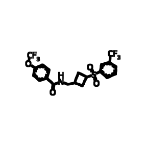 O=C(NCC1CC(S(=O)(=O)c2cccc(C(F)(F)F)c2)C1)c1ccc(OC(F)(F)F)cc1